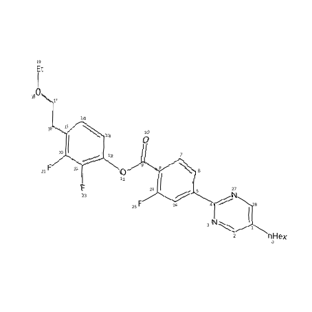 CCCCCCc1cnc(-c2ccc(C(=O)Oc3ccc(CCOCC)c(F)c3F)c(F)c2)nc1